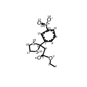 CCOC(=O)CC1(c2cccc([N+](=O)[O-])c2)SCCS1